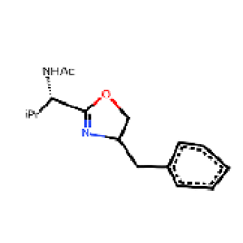 CC(=O)N[C@H](C1=NC(Cc2ccccc2)CO1)C(C)C